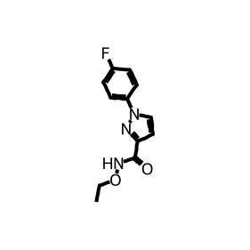 CCONC(=O)c1ccn(-c2ccc(F)cc2)n1